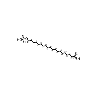 O=P(O)(O)OCCCCCCCCCCCCCCCCCCCC(=S)S